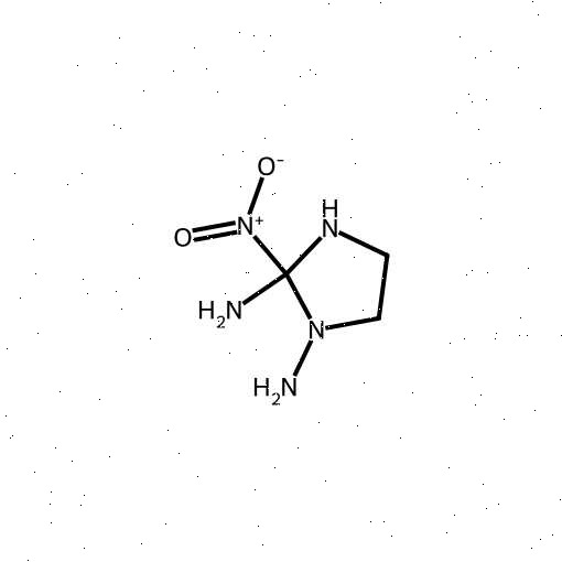 NN1CCNC1(N)[N+](=O)[O-]